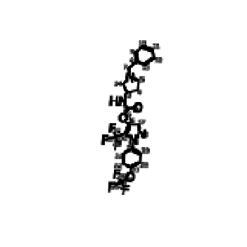 O=C(NC1CCN(Cc2ccccc2)C1)Oc1cnn(-c2ccc(OC(F)(F)F)cc2)c1C(F)(F)F